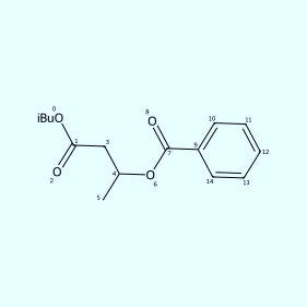 CC(C)COC(=O)CC(C)OC(=O)c1ccccc1